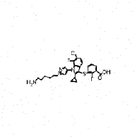 NCCCCCCn1cc(-n2c(C3CC3)c(Sc3cccc(C(=O)O)c3F)c3ccc(Cl)c(F)c32)cn1